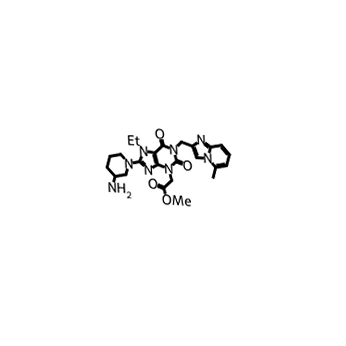 CCn1c(N2CCCC(N)C2)nc2c1c(=O)n(Cc1cn3c(C)cccc3n1)c(=O)n2CC(=O)OC